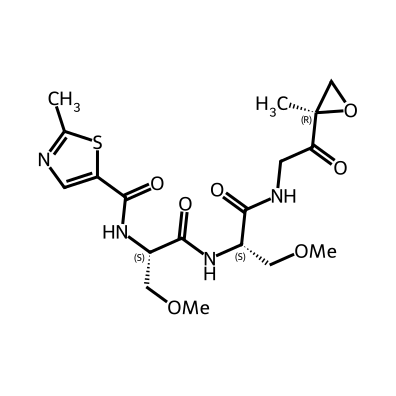 COC[C@H](NC(=O)c1cnc(C)s1)C(=O)N[C@@H](COC)C(=O)NCC(=O)[C@@]1(C)CO1